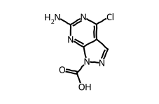 Nc1nc(Cl)c2cnn(C(=O)O)c2n1